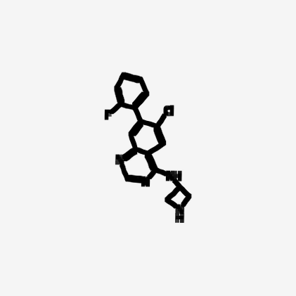 Fc1ccccc1-c1cc2ncnc(NC3CNC3)c2cc1Cl